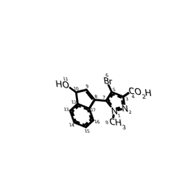 Cn1nc(C(=O)O)c(Br)c1C1=CC(O)c2ccccc21